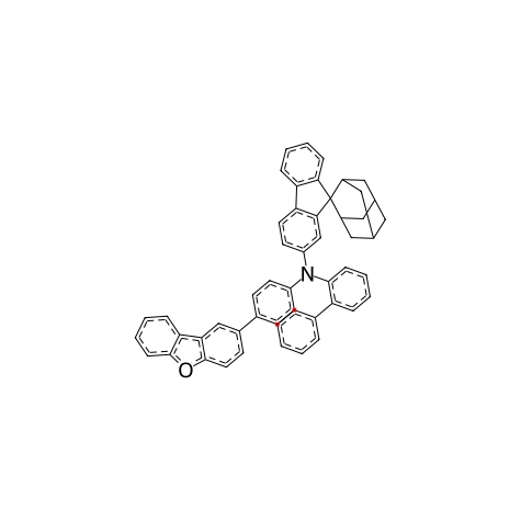 c1ccc(-c2ccccc2N(c2ccc(-c3ccc4oc5ccccc5c4c3)cc2)c2ccc3c(c2)C2(c4ccccc4-3)C3CC4CC(C3)CC2C4)cc1